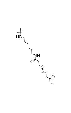 CCC(=O)CCSSCCC(=O)NCCCCCCNC(C)(C)C